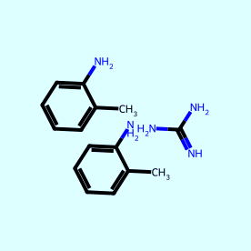 Cc1ccccc1N.Cc1ccccc1N.N=C(N)N